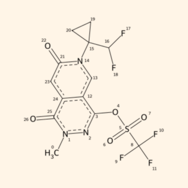 Cn1nc(OS(=O)(=O)C(F)(F)F)c2cn(C3(C(F)F)CC3)c(=O)cc2c1=O